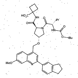 COc1ccc2c(CO[C@@H]3C[C@@H](C(=O)NC4(C(=O)O)CCC4)N(C(=O)[C@@H](NC(=O)OC(C)(C)C)C(C)C)C3)cc(-c3ccc4c(c3)CCC4)nc2c1